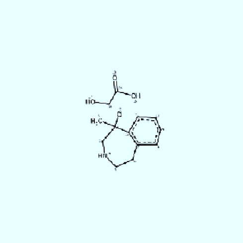 CC1(Cl)CNCCc2ccccc21.O=C(O)CO